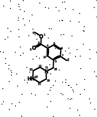 COC(=O)c1ccc(C)c(CN2CCNCC2)c1